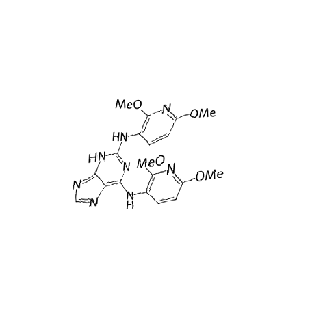 COc1ccc(Nc2nc(Nc3ccc(OC)nc3OC)c3ncnc-3[nH]2)c(OC)n1